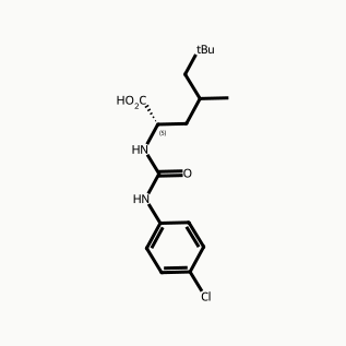 CC(C[C@H](NC(=O)Nc1ccc(Cl)cc1)C(=O)O)CC(C)(C)C